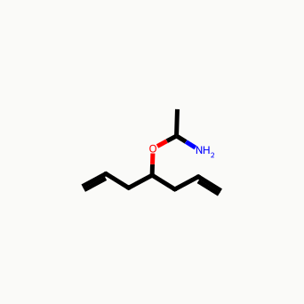 C=CCC(CC=C)OC(C)N